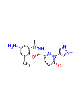 C[C@@H](NC(=O)c1ccc(=O)n(-c2cnn(C)c2)n1)c1cc(N)cc(C(F)(F)F)c1